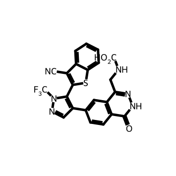 N#Cc1c(-c2c(-c3ccc4c(=O)[nH]nc(CNC(=O)O)c4c3)cnn2C(F)(F)F)sc2ccccc12